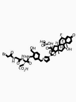 C[C@]12C=CC(=O)C=C1[C@@H](F)C[C@H]1[C@@H]3C[C@H]4O[C@@H](c5ccn(Cc6ccc(CO)c(NC(=O)[C@H](CCC(=O)O)NC(=O)CNC(=O)CBr)c6)c5)O[C@@]4(C(=O)COP(=O)(O)O)[C@@]3(C)C[C@H](O)[C@@]12F